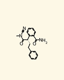 CN(C#N)C(=O)[C@@H](CCc1ccccc1)c1ccccc1C(N)=O